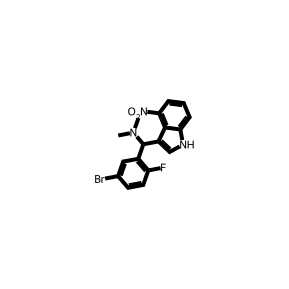 CN(C)C(c1cc(Br)ccc1F)c1c[nH]c2cccc([N+](=O)[O-])c12